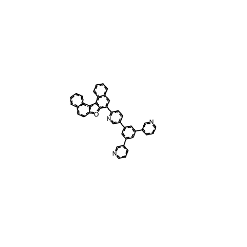 c1cncc(-c2cc(-c3cccnc3)cc(-c3ccc(-c4cc5ccccc5c5c4oc4ccc6ccccc6c45)nc3)c2)c1